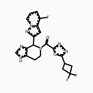 O=C(c1nnc(C2CC(F)(F)C2)o1)N1CCc2[nH]cnc2C1c1cc2c(F)cccn2n1